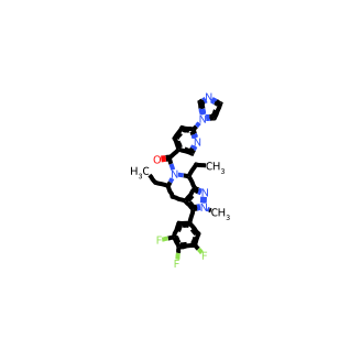 CCC1Cc2c(nn(C)c2-c2cc(F)c(F)c(F)c2)C(CC)N1C(=O)c1ccc(-n2ccnc2)nc1